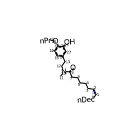 CCCCCCCCCC/C=C\CCCCCC(=O)N(C)CCc1ccc(OCCC)c(O)c1